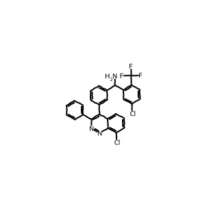 NC(c1cccc(-c2c(-c3ccccc3)nnc3c(Cl)cccc23)c1)c1cc(Cl)ccc1C(F)(F)F